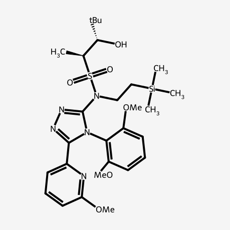 COc1cccc(-c2nnc(N(CC[Si](C)(C)C)S(=O)(=O)[C@@H](C)[C@@H](O)C(C)(C)C)n2-c2c(OC)cccc2OC)n1